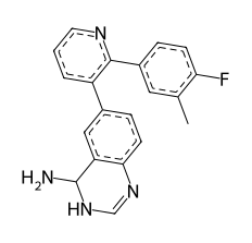 Cc1cc(-c2ncccc2-c2ccc3c(c2)C(N)NC=N3)ccc1F